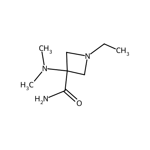 CCN1CC(C(N)=O)(N(C)C)C1